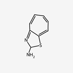 NC1N=C2C=CC=CC=C2S1